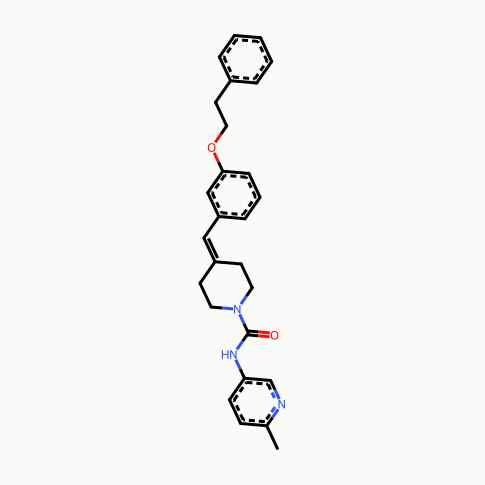 Cc1ccc(NC(=O)N2CCC(=Cc3cccc(OCCc4ccccc4)c3)CC2)cn1